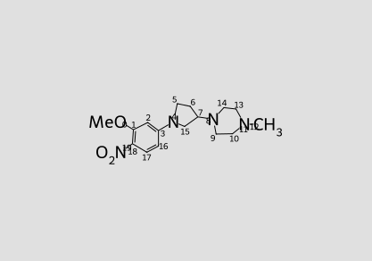 COc1cc(N2CCC(N3CCN(C)CC3)C2)ccc1[N+](=O)[O-]